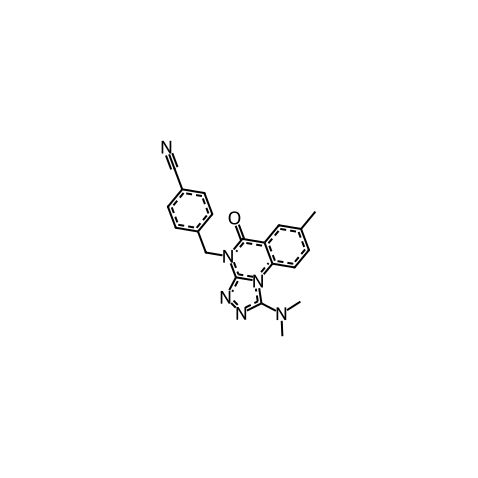 Cc1ccc2c(c1)c(=O)n(Cc1ccc(C#N)cc1)c1nnc(N(C)C)n21